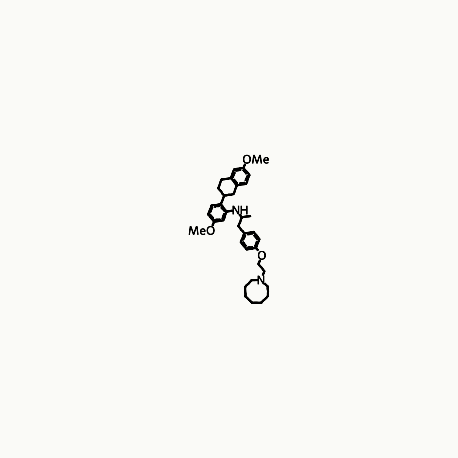 COc1ccc2c(c1)CCC(c1ccc(OC)cc1NC(C)Cc1ccc(OCCN3CCCCCCC3)cc1)C2